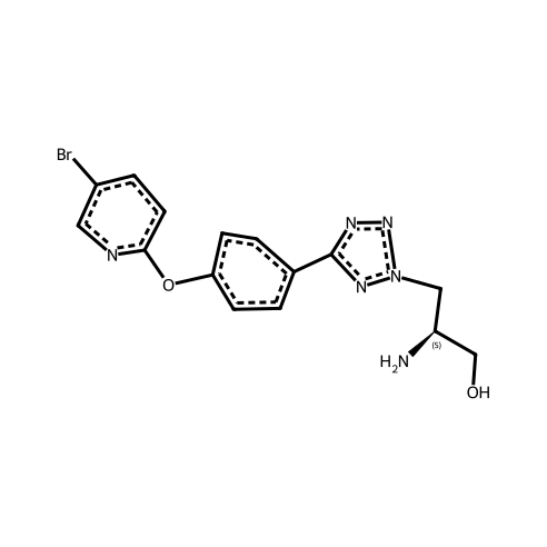 N[C@H](CO)Cn1nnc(-c2ccc(Oc3ccc(Br)cn3)cc2)n1